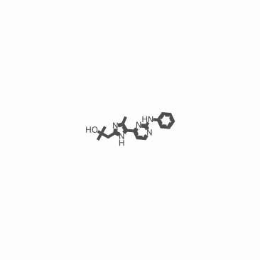 Cc1nc(CC(C)(C)O)[nH]c1-c1ccnc(Nc2ccccc2)n1